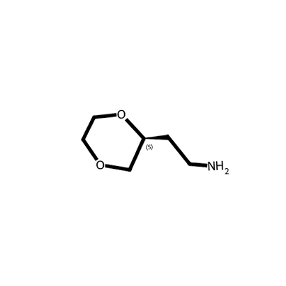 NCC[C@H]1COCCO1